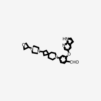 O=Cc1ccc(N2CCC3(CC2)CC(N2CCN(C4COC4)CC2)C3)cc1Oc1cnc2[nH]ccc2c1